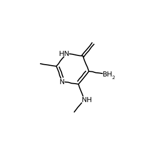 BC1=C(NC)N=C(C)NC1=C